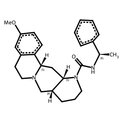 COc1ccc2c(c1)CCN1C[C@H]3CCCN(C(=O)N[C@H](C)c4ccccc4)[C@H]3C[C@@H]21